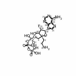 NCC[C@]1(COP(=O)(O)OP(=O)(O)OP(=O)(O)O)O[C@@H](n2cnc3c(N)ncnc32)[C@H](F)[C@@H]1O